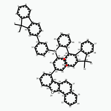 CC1(C)c2ccccc2-c2ccc(-c3cccc(N(c4cccc(-c5cccc6oc7c8ccccc8ccc7c56)c4)c4ccccc4-c4cccc5c4-c4ccccc4C5(C)C)c3)cc21